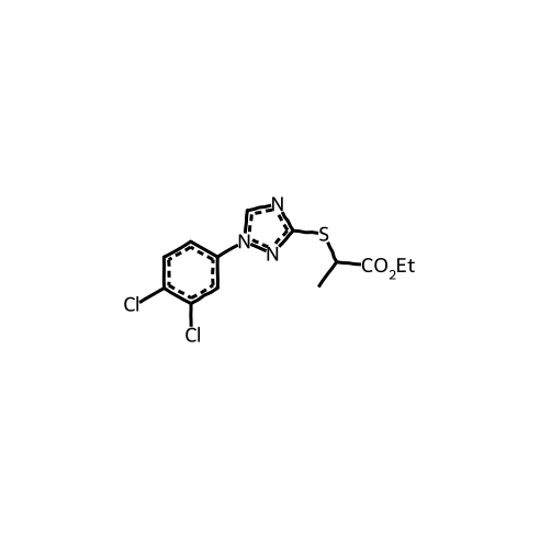 CCOC(=O)C(C)Sc1ncn(-c2ccc(Cl)c(Cl)c2)n1